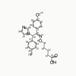 COc1ccc(/C(=N/OCCCCC(=O)O)C(c2ccc(F)cc2)n2ccnc2)cc1